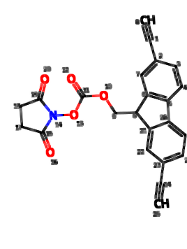 C#Cc1ccc2c(c1)C(COC(=O)ON1C(=O)CCC1=O)c1cc(C#C)ccc1-2